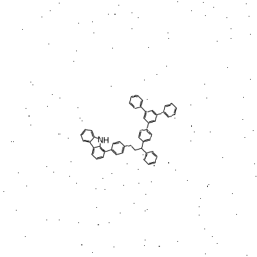 c1ccc(-c2cc(-c3ccccc3)cc(-c3ccc(C(CCc4ccc(-c5cccc6c5[nH]c5ccccc56)cc4)c4ccccc4)cc3)c2)cc1